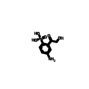 Nc1ccc([As](=O)(O)O)c(C(=O)CO)c1